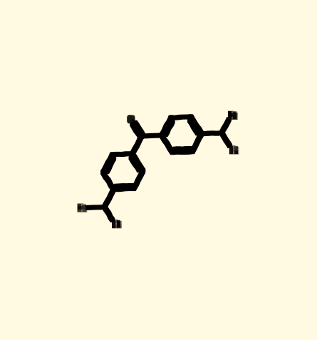 CCC(CC)c1ccc(C(=O)c2ccc(C(CC)CC)cc2)cc1